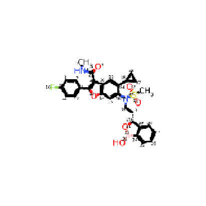 CNC(=O)c1c(-c2ccc(F)cc2)oc2cc(N(CC[C@H]3OB(O)c4ccccc43)S(C)(=O)=O)c(C3CC3)cc12